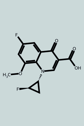 COc1cc(F)cc2c(=O)c(C(=O)O)cn([C@@H]3C[C@H]3F)c12